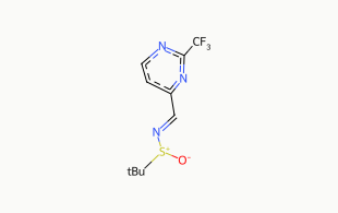 CC(C)(C)[S+]([O-])N=Cc1ccnc(C(F)(F)F)n1